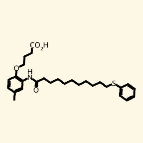 Cc1ccc(OCCCC(=O)O)c(NC(=O)CCCCCCCCCCSc2ccccc2)c1